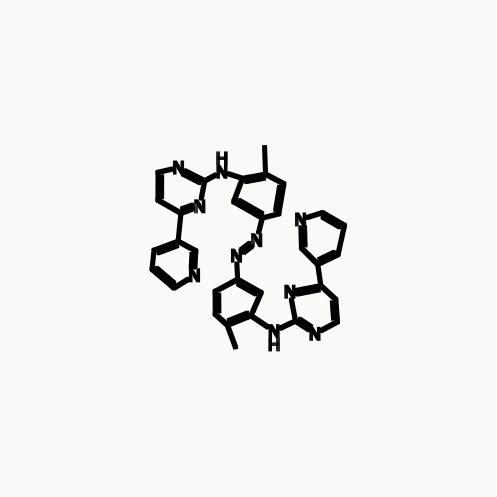 Cc1ccc(N=Nc2ccc(C)c(Nc3nccc(-c4cccnc4)n3)c2)cc1Nc1nccc(-c2cccnc2)n1